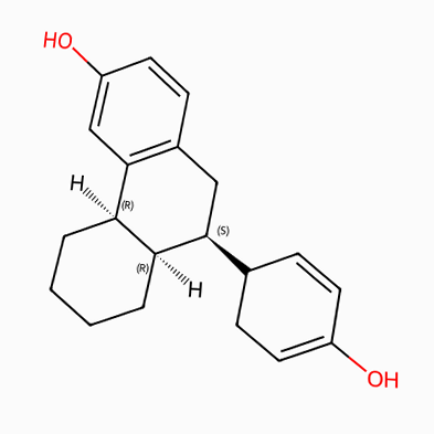 OC1=CCC([C@@H]2Cc3ccc(O)cc3[C@@H]3CCCC[C@@H]32)C=C1